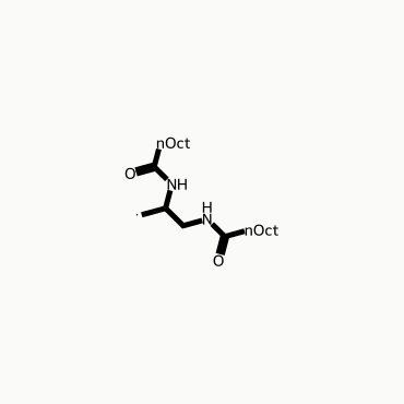 [CH2]C(CNC(=O)CCCCCCCC)NC(=O)CCCCCCCC